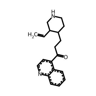 C=CC1CNCCC1CCC(=O)c1ccnc2ccccc12